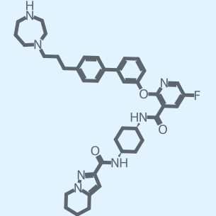 O=C(N[C@H]1CC[C@@H](NC(=O)c2cc(F)cnc2Oc2cccc(-c3ccc(CCCN4CCCNCC4)cc3)c2)CC1)c1cc2n(n1)CCCC2